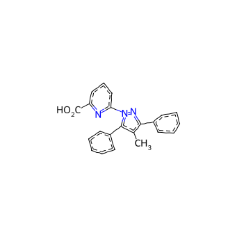 Cc1c(-c2ccccc2)nn(-c2cccc(C(=O)O)n2)c1-c1ccccc1